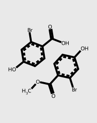 COC(=O)c1ccc(O)cc1Br.O=C(O)c1ccc(O)cc1Br